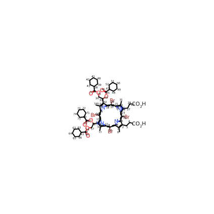 CC1=C(CCC(=O)O)c2nc1c(Br)c1[nH]c(c(Br)c3nc(c(Br)c4[nH]c(c2Br)c(CCC(=O)O)c4C)C(C(COC(=O)C2CCCCC2)OC(=O)C2CCCCC2)=C3C)c(C(COC(=O)C2CCCCC2)OC(=O)C2CCCCC2)c1C